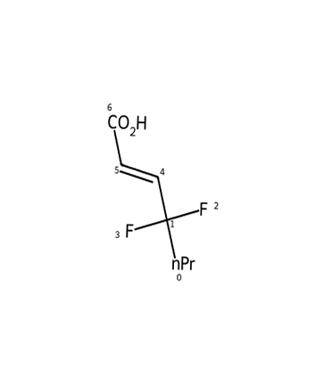 CCCC(F)(F)C=CC(=O)O